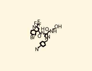 N#Cc1ccc(Cn2cc(NC(=O)c3cc(C(F)(F)F)nc4ccc(Br)cc34)c(C(=O)NCCO)n2)cc1